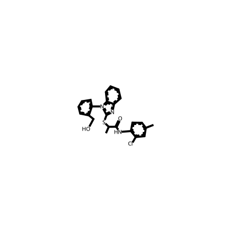 Cc1ccc(NC(=O)C(C)Sc2nc3ccccc3n2-c2ccccc2CO)c(Cl)c1